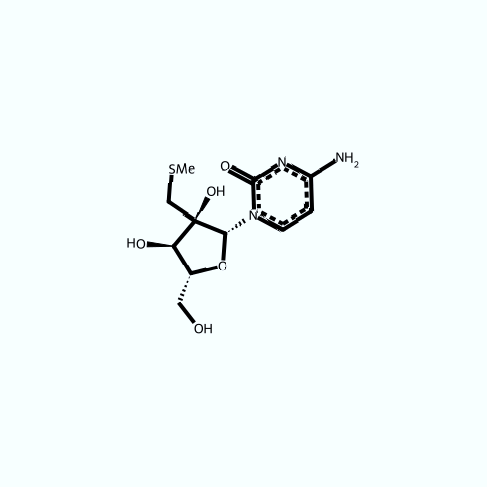 CSC[C@@]1(O)[C@H](O)[C@@H](CO)O[C@H]1n1ccc(N)nc1=O